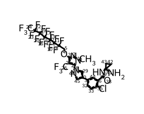 Cn1nc(OCC(F)(F)C(F)(F)C(F)(F)C(F)(F)C(F)(F)C(F)(F)C(F)(F)F)c(C(F)(F)F)c1-n1cc(-c2ccc(Cl)c(C(=O)NC3(N)CC3)c2)cn1